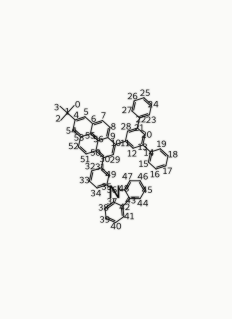 CC(C)(C)c1cc2ccc3c(-c4cc(-c5ccccc5)cc(-c5ccccc5)c4)cc(-c4cccc(-n5c6ccccc6c6ccccc65)c4)c4ccc(c1)c2c34